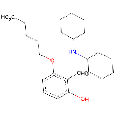 C1CCC(NC2CCCCC2)CC1.O=Cc1c(O)cccc1OCCCCC(=O)O